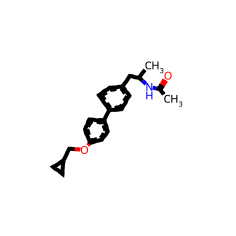 CC(=O)NC(C)Cc1ccc(-c2ccc(OCC3CC3)cc2)cc1